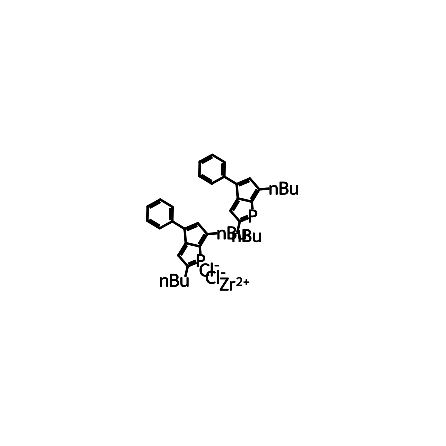 CCCCC1=PC2=C(CCCC)C=C(c3ccccc3)C2=C1.CCCCC1=PC2=C(CCCC)C=C(c3ccccc3)C2=C1.[Cl-].[Cl-].[Zr+2]